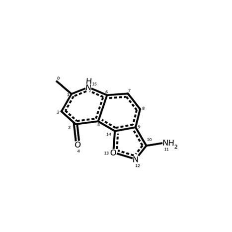 Cc1cc(=O)c2c(ccc3c(N)noc32)[nH]1